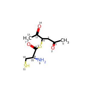 CC(=O)CC(SC(=O)[C@@H](N)CS)C(C)=O